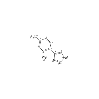 Cc1ccc(-c2c[nH]nn2)cc1.[Ag]